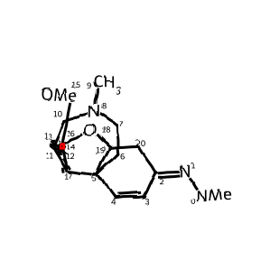 CNN=C1C=CC23CCN(C)Cc4ccc(OC)c(c42)OC3C1